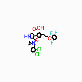 O=C(C1=C(c2ccc(CCCOc3c(F)ccc(F)c3F)cc2)CCNC1)N(Cc1cccc(Cl)c1Cl)C1CC1.O=CO